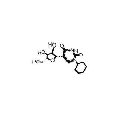 O=c1[nH]c(=O)n(C2CCCCC2)cc1[C@@H]1O[C@H](CO)C(O)C1O